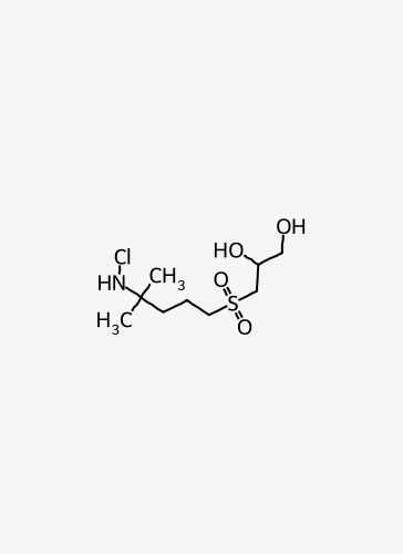 CC(C)(CCCS(=O)(=O)CC(O)CO)NCl